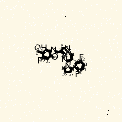 OCc1cc2nc(-c3cnn4ccc(N5CCC[C@@H]5c5cc(F)ccc5F)nc34)oc2cc1F